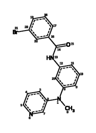 CN(c1cccnc1)c1cccc(NC(=O)c2cccc(Br)c2)c1